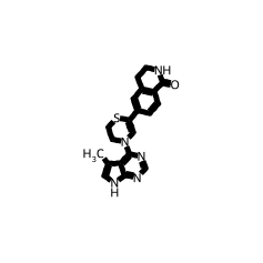 Cc1c[nH]c2ncnc(N3C=C(c4ccc5c(c4)CCNC5=O)SCC3)c12